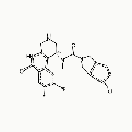 CN(C(=O)N1Cc2ccc(Cl)cc2C1)[C@H]1CNCc2[nH]c(=O)c3cc(F)c(F)cc3c21